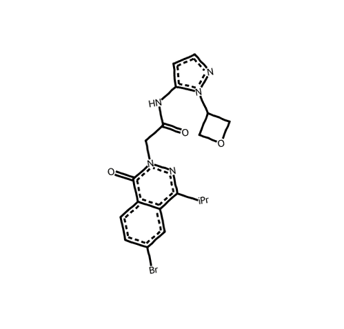 CC(C)c1nn(CC(=O)Nc2ccnn2C2COC2)c(=O)c2ccc(Br)cc12